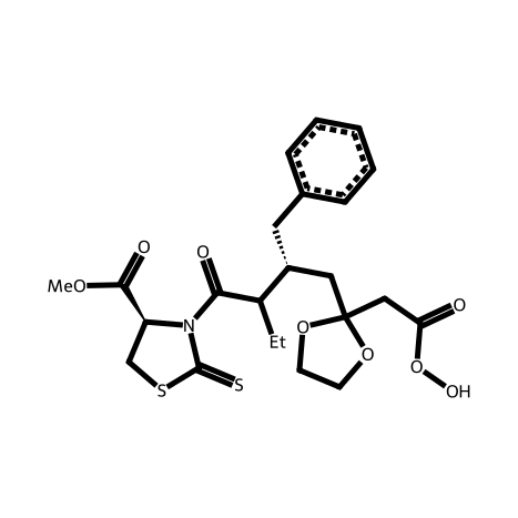 CCC(C(=O)N1C(=S)SC[C@H]1C(=O)OC)[C@H](Cc1ccccc1)CC1(CC(=O)OO)OCCO1